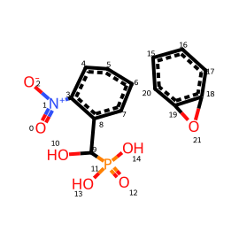 O=[N+]([O-])c1ccccc1C(O)P(=O)(O)O.c1ccc2c(c1)O2